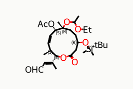 CCOC(C)O[C@]1(C)CC[C@@H](O[Si](C)(C)C(C)(C)C)CC(=O)O[C@H](C(C)=CC=O)[C@@H](C)C=C[C@@H]1OC(C)=O